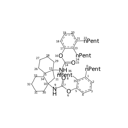 CCCCCc1cccc(OC(=O)NC2(CC3(NC(=O)Oc4cccc(CCCCC)c4CCCCC)CCCCC3)CCCCC2)c1CCCCC